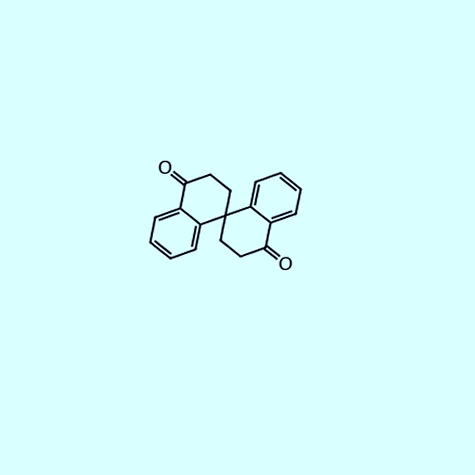 O=C1CCC2(CCC(=O)c3ccccc32)c2ccccc21